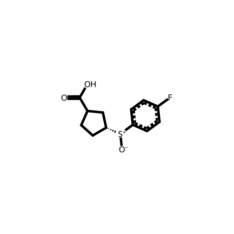 O=C(O)C1CC[C@@H]([S+]([O-])c2ccc(F)cc2)C1